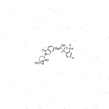 O=C1N[C@H](O)CCC1N1Cc2cc(CN[C@H](O)C(F)(F)c3ccc(F)cc3C(F)(F)F)ccc2C1=O